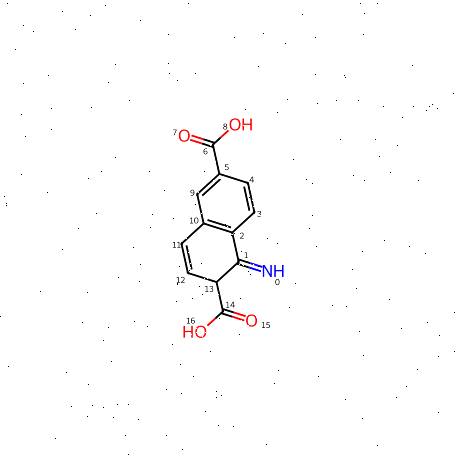 N=C1c2ccc(C(=O)O)cc2C=CC1C(=O)O